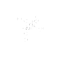 O=C(CN[C@H](Cc1ccc(Cl)cc1)C(=O)O)/C(=C\c1cccc(C(F)(F)F)c1)NC(=O)c1ccc(-c2ccccc2)cc1